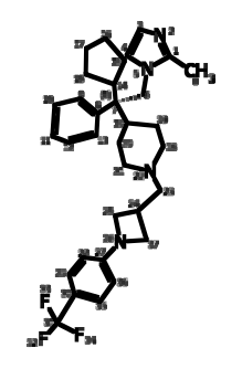 Cc1nccn1C[C@](c1ccccc1)(C1CCCC1)C1CCN(CC2CN(c3ccc(C(F)(F)F)cc3)C2)CC1